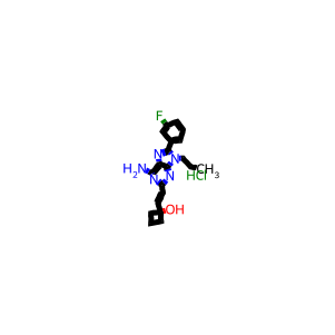 CCCn1c(-c2cccc(F)c2)nc2c(N)nc(C=CC3(O)CCC3)nc21.Cl